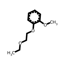 CCOCCOc1cc[c]cc1OC